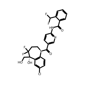 O=C(Nc1ccc(C(=O)N2CCC(F)(F)[C@](O)(CO)c3cc(Cl)ccc32)cn1)c1ccccc1C(F)F